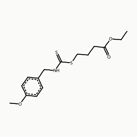 CCOC(=O)CCCSC(=S)NCc1ccc(OC)cc1